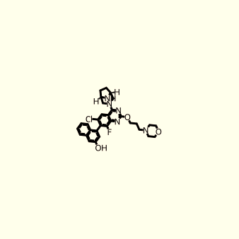 Oc1cc(-c2c(Cl)cc3c(N4C[C@H]5CC[C@@H](C4)N5)nc(OCCCN4CCOCC4)nc3c2F)c2ccccc2c1